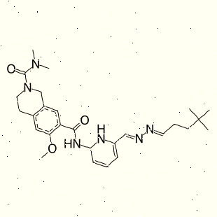 COc1cc2c(cc1C(=O)NC1C=CC=C(/C=N/N=C/CCC(C)(C)C)N1)CN(C(=O)N(C)C)CC2